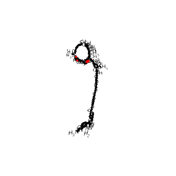 CO[C@H]1C[C@@H]2CC[C@@H](C)[C@@](O)(O2)C(=O)C(=O)N2CCCC[C@H]2C(=O)O[C@H](C[C@H](O)[C@H](N)C[C@]2(O)CC[C@@H](OC(=O)NCCOCCOCCOCCOCCOCCOCCOCCOCCC(=O)N3CCc4cc(Cn5nc(-c6ccc7oc(N)nc7c6)c6c(N)ncnc65)ccc4C3)[C@H](OC)C2)[C@H](C)/C=C(\C)[C@@H](O)[C@@H](O)C(=O)[C@H](C)C[C@H](C)/C=C/C=C/C=C/1C